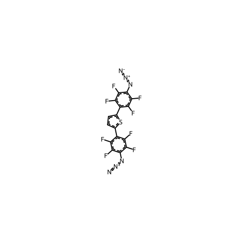 [N-]=[N+]=Nc1c(F)c(F)c(-c2ccc(-c3c(F)c(F)c(N=[N+]=[N-])c(F)c3F)s2)c(F)c1F